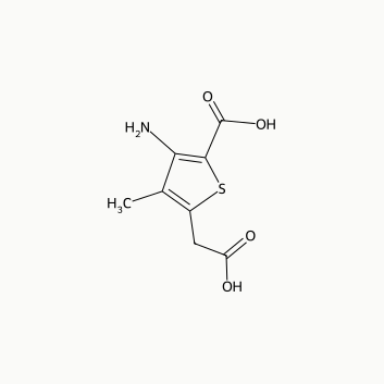 Cc1c(CC(=O)O)sc(C(=O)O)c1N